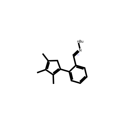 CCCC/N=C/c1ccccc1C1=C(C)C(C)=C(C)C1